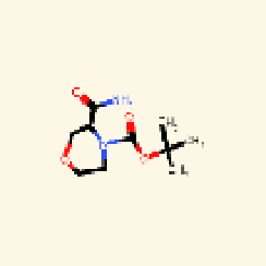 CC(C)(C)OC(=O)N1CCOCC1C(N)=O